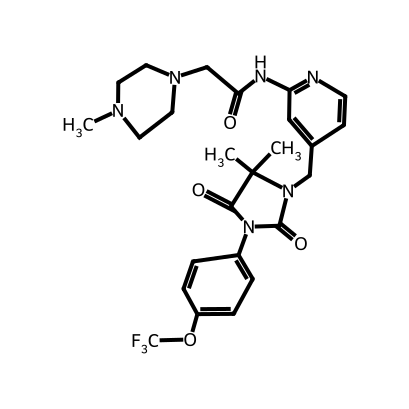 CN1CCN(CC(=O)Nc2cc(CN3C(=O)N(c4ccc(OC(F)(F)F)cc4)C(=O)C3(C)C)ccn2)CC1